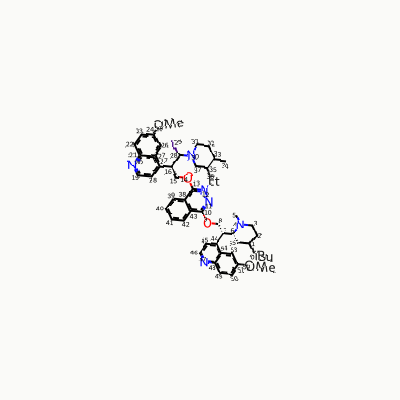 CCC(C)C1CCN(C)[C@@H]([C@@H](COc2nnc(OC[C@@H](c3ccnc4ccc(OC)cc34)[C@@H](I)N3CCC(C)C(CC)C3)c3ccccc23)c2ccnc3ccc(OC)cc23)C1